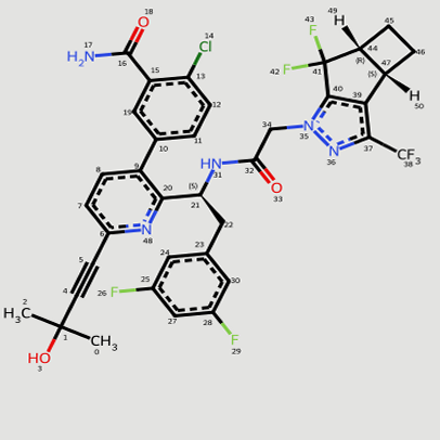 CC(C)(O)C#Cc1ccc(-c2ccc(Cl)c(C(N)=O)c2)c([C@H](Cc2cc(F)cc(F)c2)NC(=O)Cn2nc(C(F)(F)F)c3c2C(F)(F)[C@@H]2CC[C@H]32)n1